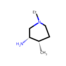 CCN1CC[C@H](C)[C@H](N)C1